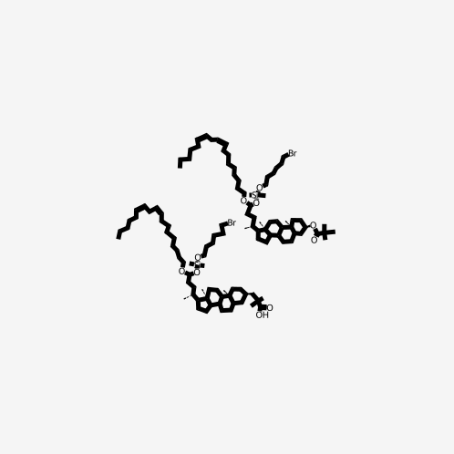 CCCCC/C=C\C/C=C\CCCCCCCCOC(CC[C@@H](C)C1CCC2C3CCC4C[C@H](CC(C)(C)C(=O)O)CC[C@]4(C)C3CC[C@@]21C)O[Si](C)(C)OCCCCCCBr.CCCCC/C=C\C/C=C\CCCCCCCCOC(CC[C@@H](C)C1CCC2C3CCC4C[C@H](OC(=O)C(C)(C)C)CC[C@]4(C)C3CC[C@@]21C)O[Si](C)(C)OCCCCCCBr